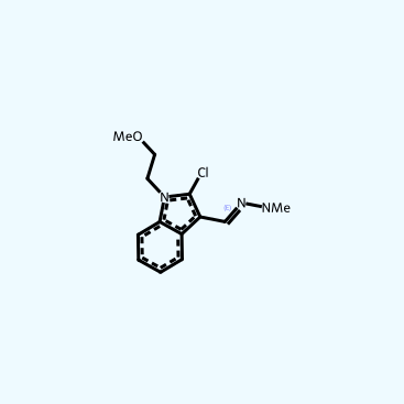 CN/N=C/c1c(Cl)n(CCOC)c2ccccc12